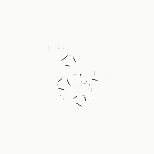 N#Cc1ccc(Cl)c(NN(C(=O)C=O)C(Cc2ccccc2)C(=O)Nc2ccc(C(=O)O)cc2)c1